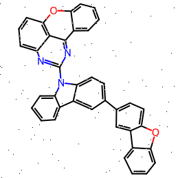 c1ccc2c(c1)Oc1cccc3nc(-n4c5ccccc5c5cc(-c6ccc7oc8ccccc8c7c6)ccc54)nc-2c13